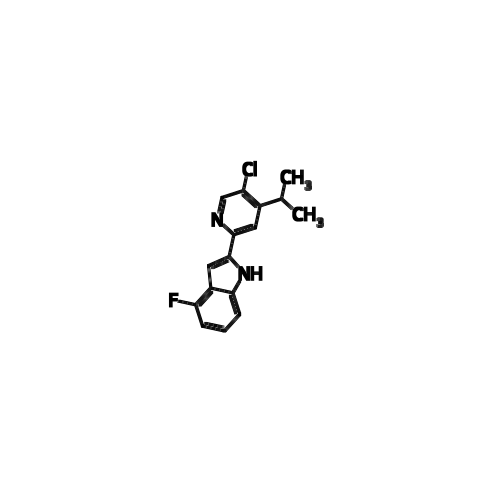 CC(C)c1cc(-c2cc3c(F)cccc3[nH]2)ncc1Cl